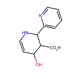 O=C(O)C1C(O)C=CNC1c1ccccn1